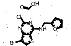 Clc1nc(NCc2ccco2)c2scc(Br)c2n1.O=CO